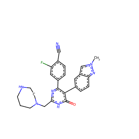 Cn1cc2cc(-c3c(-c4ccc(C#N)c(F)c4)nc(CN4CCCNCC4)[nH]c3=O)ccc2n1